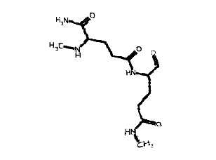 CNC(=O)CCC(C=O)NC(=O)CCC(NC)C(N)=O